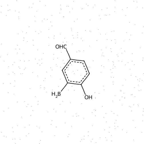 Bc1cc(C=O)ccc1O